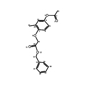 CC(=O)Oc1ccc(OCC(=O)OCc2ccccc2)c(C)c1